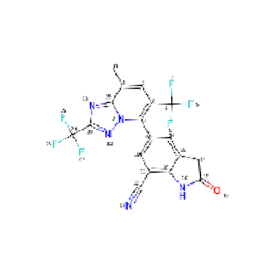 Cc1cc(C(F)(F)F)c(-c2cc(C#N)c3c(c2)CC(=O)N3)n2nc(C(F)(F)F)nc12